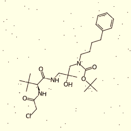 CC(O)(CNC(=O)[C@@H](NC(=O)CCl)C(C)(C)C)CN(CCCCc1ccccc1)C(=O)OC(C)(C)C